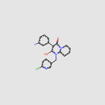 O=c1c(-c2cccc(I)c2)c(O)[n+](Cc2ccc(Cl)nc2)c2ccccn12